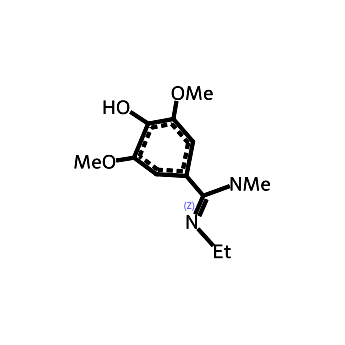 CC/N=C(\NC)c1cc(OC)c(O)c(OC)c1